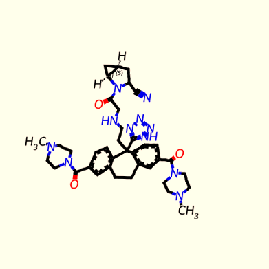 CN1CCN(C(=O)c2ccc3c(c2)CCc2cc(C(=O)N4CCN(C)CC4)ccc2C3(CCNCC(=O)N2C(C#N)C[C@@H]3C[C@@H]32)c2nnn[nH]2)CC1